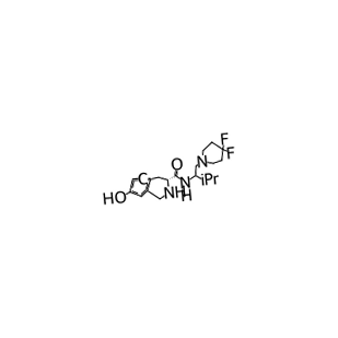 CC(C)C(CN1CCC(F)(F)CC1)NC(=O)[C@H]1Cc2ccc(O)cc2CN1